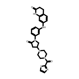 O=C1CCc2ccc(Nc3cccc(N4CC(N5CCN(C(=O)c6nccs6)CC5)CC4=O)c3)cc2N1